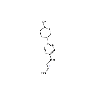 O/N=C/Nc1ccc(N2CCC(O)CC2)nc1